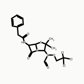 CC1(C)SC2C(NC(=O)Cc3ccccc3)C(=O)N2C1N(C=O)OCC(Cl)(Cl)Cl